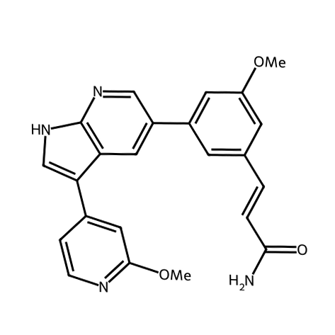 COc1cc(C=CC(N)=O)cc(-c2cnc3[nH]cc(-c4ccnc(OC)c4)c3c2)c1